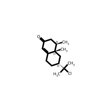 C[C@@H]1CC(=O)C=C2CC[C@@H](C(C)(C)Cl)C[C@]21C